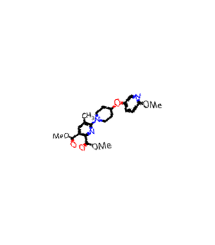 COC(=O)c1cc(C)c(N2CCC(Oc3ccc(OC)nc3)CC2)nc1C(=O)OC